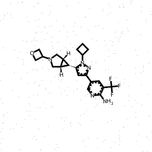 Nc1ncc(-c2cc([C@@H]3[C@@H]4CN(C5COC5)C[C@@H]43)n(C3CCC3)n2)cc1C(F)(F)F